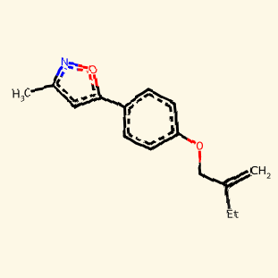 C=C(CC)COc1ccc(-c2cc(C)no2)cc1